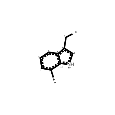 Fc1cccc2c(CI)c[nH]c12